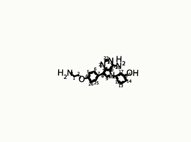 NCCOc1ccc(-c2cn(-c3cccc(O)c3)c3c(N)ncnc23)cc1